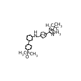 CC(C)(C)c1nc(C23CCC(CNc4cccc(-c5ccc(P(C)(C)=O)cc5)c4)(CC2)CC3)no1